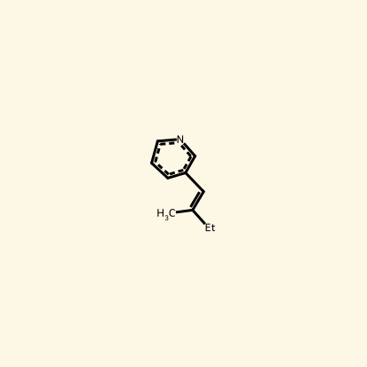 CCC(C)=Cc1cccnc1